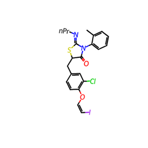 CCC/N=C1\SC(Cc2ccc(O/C=C\I)c(Cl)c2)C(=O)N1c1ccccc1C